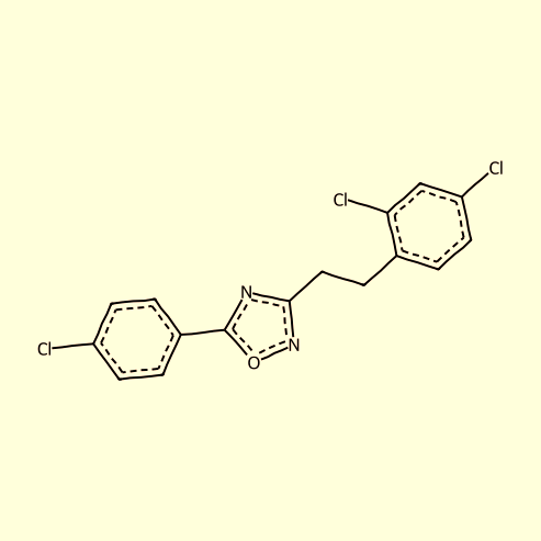 Clc1ccc(-c2nc(CCc3ccc(Cl)cc3Cl)no2)cc1